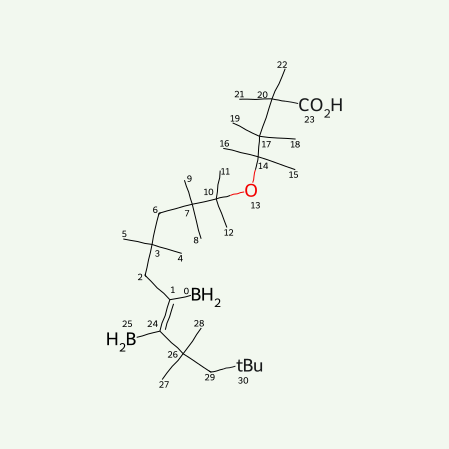 B/C(CC(C)(C)CC(C)(C)C(C)(C)OC(C)(C)C(C)(C)C(C)(C)C(=O)O)=C(/B)C(C)(C)CC(C)(C)C